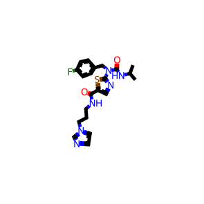 CC(C)NC(=O)N(Cc1ccc(F)cc1)c1ncc(C(=O)NCCCn2ccnc2)s1